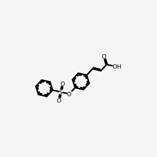 O=C(O)C=Cc1ccc(OS(=O)(=O)c2ccccc2)cc1